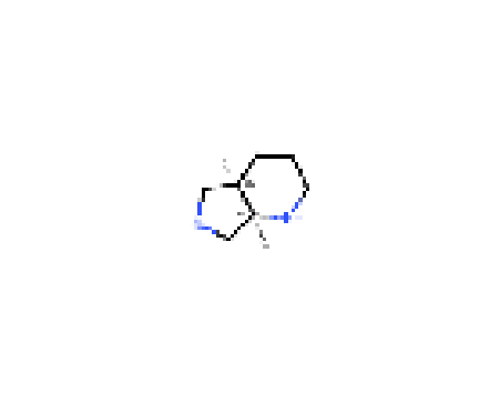 C1CN[C@H]2C[N]C[C@H]2C1